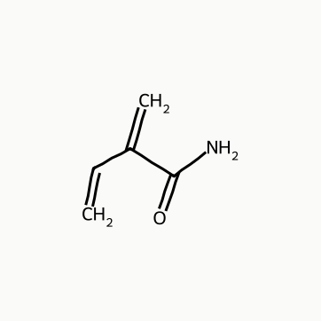 C=CC(=C)C(N)=O